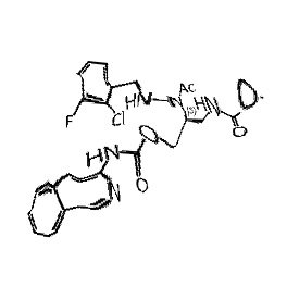 CC(=O)N(NCc1cccc(F)c1Cl)[C@@H](CNC([O])=O)COC(=O)Nc1cc2ccccc2cn1